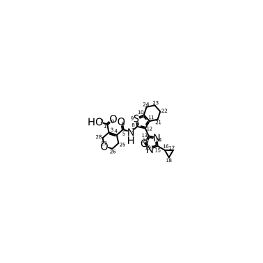 O=C(O)C1=C(C(=O)Nc2sc3c(c2-c2nc(C4CC4)no2)CCCC3)CCOC1